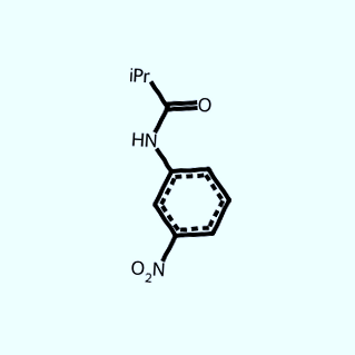 CC(C)C(=O)Nc1cccc([N+](=O)[O-])c1